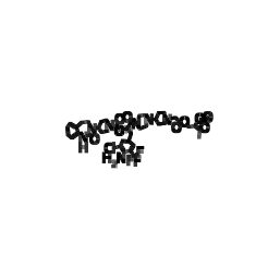 Cc1oc(=O)oc1COC(=O)CN1CCC(N2CCN(C(=O)[C@@H](Cc3cc(Cl)c(N)c(C(F)(F)F)c3)OC(=O)N3CCC(N4CCc5ccccc5NC4=O)CC3)CC2)CC1